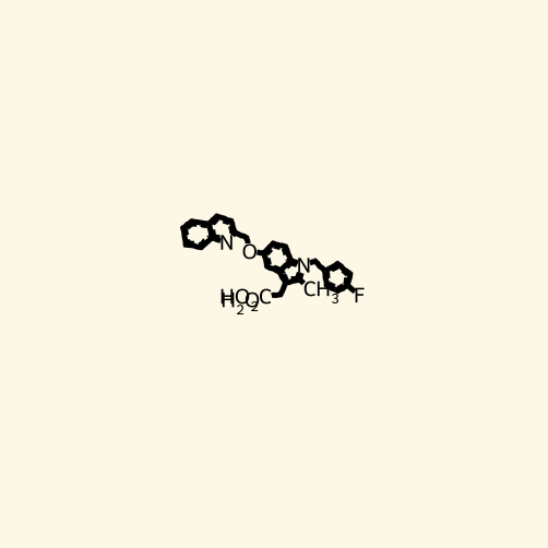 Cc1c(CC(=O)O)c2cc(OCc3ccc4ccccc4n3)ccc2n1Cc1ccc(F)cc1.O